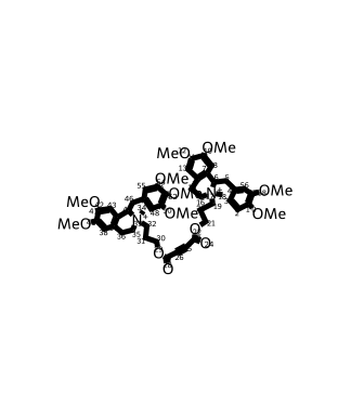 COc1ccc(CC2c3cc(OC)c(OC)cc3CC[N+]2(C)CCCOC(=O)C#CC(=O)OCCC[N+]2(C)CCc3cc(OC)c(OC)cc3C2Cc2cc(OC)c(OC)c(OC)c2)cc1OC